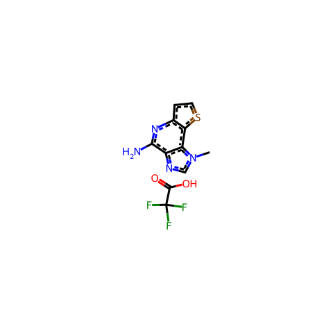 Cn1cnc2c(N)nc3ccsc3c21.O=C(O)C(F)(F)F